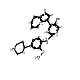 COc1cc(C2CCNCC2)ccc1Nc1ncc(F)c(-c2cnc3ccccn23)n1